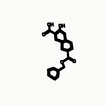 O=C(OCc1ccccc1)c1ccc2cc(O)c(C(=O)O)cc2c1